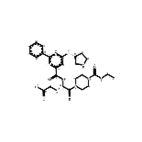 CCOC(=O)N1CCN(C(=O)[C@H](CCC(=O)O)NC(=O)c2cc(O[C@@H]3CCOC3)nc(-c3ccccc3)n2)CC1